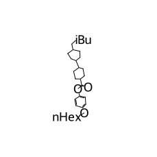 CCCCCCOc1ccc(OC(=O)C2CCC(C3CCC(CC(C)CC)CC3)CC2)cc1